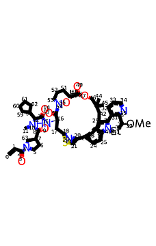 C=CC(=O)N1CCC(C(=O)N(C)C(C(=O)N[C@H]2Cc3nc(cs3)-c3ccc4c(c3)c(c(-c3cccnc3[C@H](C)OC)n4CC)CC(C)(C)COC(=O)[C@@H]3CCCN(O3)C2=O)C2CCCC2)C1